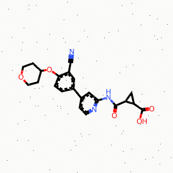 N#Cc1cc(-c2ccnc(NC(=O)C3CC3C(=O)O)c2)ccc1OC1CCOCC1